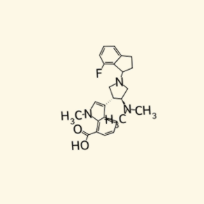 CN(C)[C@@H]1CN(C2CCc3cccc(F)c32)C[C@H]1c1cn(C)c2c(C(=O)O)cccc12